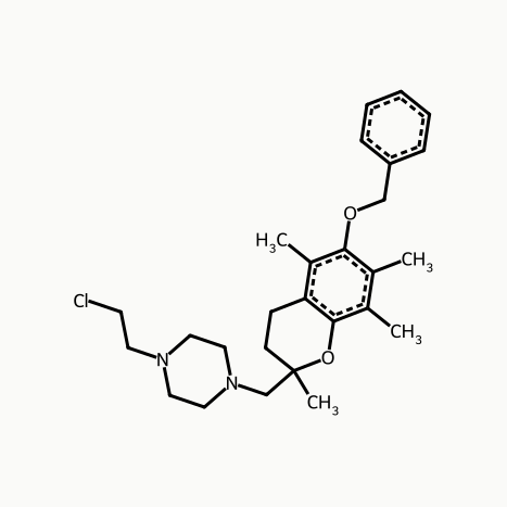 Cc1c(C)c2c(c(C)c1OCc1ccccc1)CCC(C)(CN1CCN(CCCl)CC1)O2